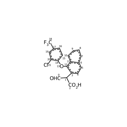 O=CC(C(=O)O)c1ccc2ccccc2c1Oc1ccc(C(F)(F)F)cc1Cl